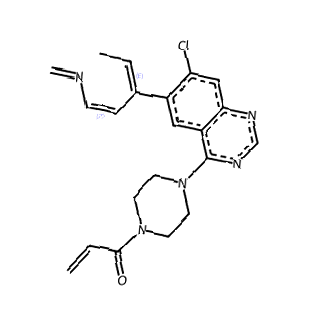 C=CC(=O)N1CCN(c2ncnc3cc(Cl)c(C(/C=C\N=C)=C/C)cc23)CC1